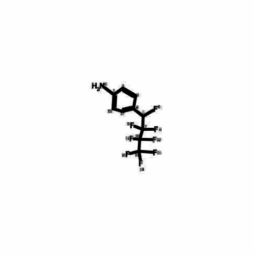 Nc1ccc(C(F)C(F)(F)C(F)(F)C(F)(F)F)cc1